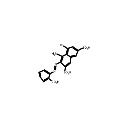 Nc1c(N=Nc2ccccc2C(=O)O)c(S(=O)(=O)O)cc2cc(S(=O)(=O)O)cc(O)c12